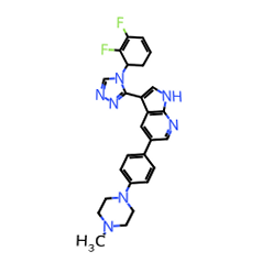 CN1CCN(c2ccc(-c3cnc4[nH]cc(-c5nncn5C5CC=CC(F)=C5F)c4c3)cc2)CC1